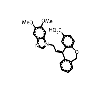 COc1cc2ncn(C/C=C3/c4ccccc4COc4ccc(C(=O)O)cc43)c2cc1OC